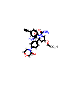 C#Cc1ccc([N+]2(C(N)=O)C[C@H](OCC(=O)O)C[C@]2(C(N)=O)c2ccc(N3CCOCC3=O)cc2)cc1